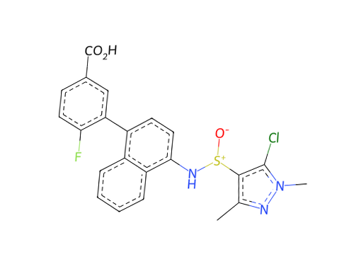 Cc1nn(C)c(Cl)c1[S+]([O-])Nc1ccc(-c2cc(C(=O)O)ccc2F)c2ccccc12